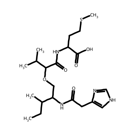 CCC(C)C(COC(C(=O)NC(CCSC)C(=O)O)C(C)C)NC(=O)Cc1c[nH]cn1